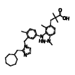 Cc1ccc(N2NN(C)c3ccc(CC(C)(C)C(=O)O)c(C)c32)cc1Cn1ccnc1CC1CCCCCC1